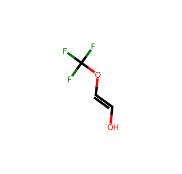 OC=COC(F)(F)F